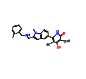 CCc1c(-c2ccc3c(c2)cc(CNCc2ccccc2C)n3C)[nH]c(=O)c(C=O)c1O